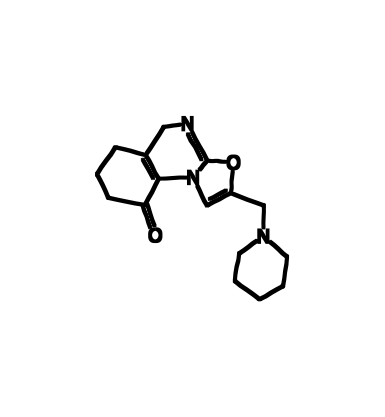 O=C1CCCC2=C1N1C=C(CN3CCCCC3)OC1=NC2